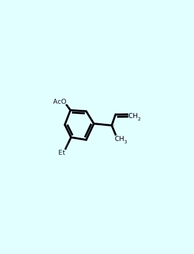 C=C[C](C)c1cc(CC)cc(OC(C)=O)c1